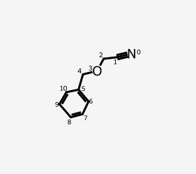 N#CCOCc1ccccc1